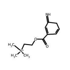 C[N+](C)(C)CCOC(=O)C1=CC(=N)CC=C1